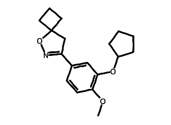 COc1ccc(C2=NOC3(CCC3)C2)cc1OC1CCCC1